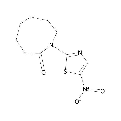 O=C1CCCCCCN1c1ncc([N+](=O)[O-])s1